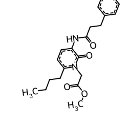 CCCCc1ccc(NC(=O)CCc2ccccc2)c(=O)n1CC(=O)OC